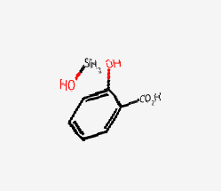 O=C(O)c1ccccc1O.O[SiH3]